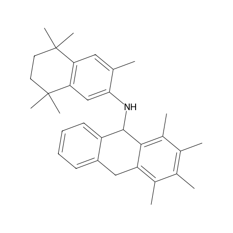 Cc1cc2c(cc1NC1c3ccccc3Cc3c(C)c(C)c(C)c(C)c31)C(C)(C)CCC2(C)C